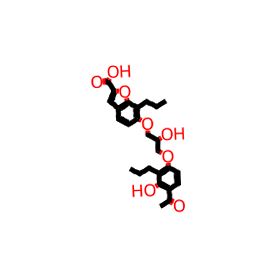 CCCc1c(OCC(O)COc2ccc3cc(C(=O)O)oc3c2CCC)ccc(C(C)=O)c1O